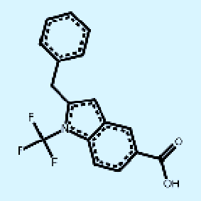 O=C(O)c1ccc2c(c1)cc(Cc1ccccc1)n2C(F)(F)F